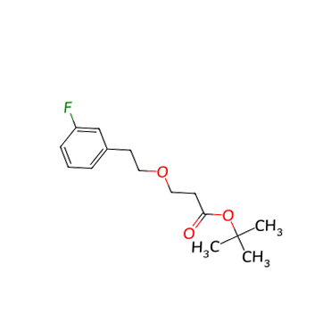 CC(C)(C)OC(=O)CCOCCc1cccc(F)c1